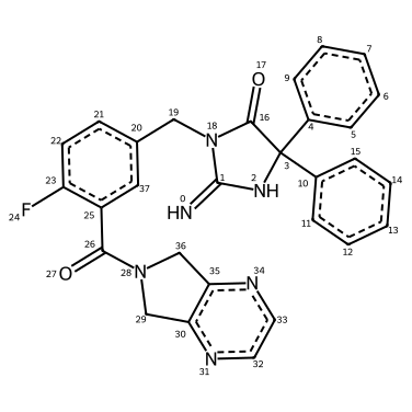 N=C1NC(c2ccccc2)(c2ccccc2)C(=O)N1Cc1ccc(F)c(C(=O)N2Cc3nccnc3C2)c1